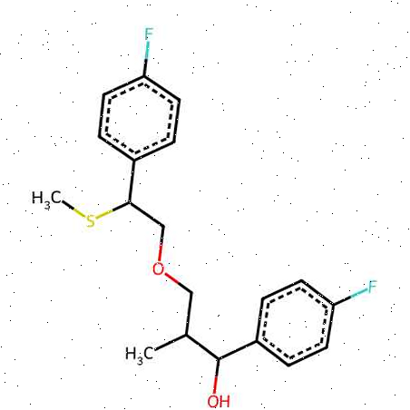 CSC(COCC(C)C(O)c1ccc(F)cc1)c1ccc(F)cc1